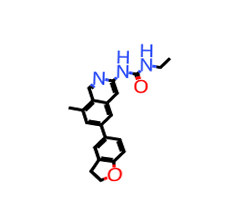 CCNC(=O)Nc1cc2cc(-c3ccc4c(c3)CCO4)cc(C)c2cn1